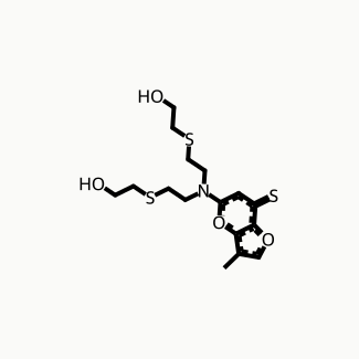 Cc1coc2c(=S)cc(N(CCSCCO)CCSCCO)oc12